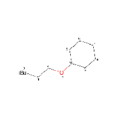 CCC(C)CCOC1CCCCC1